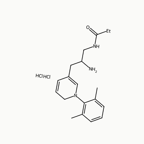 CCC(=O)NCC(N)CC1=CN(c2c(C)cccc2C)CC=C1.Cl.Cl